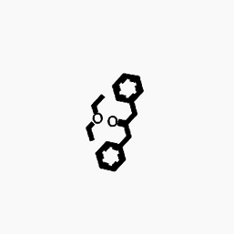 CCOCC.O=C(Cc1ccccc1)Cc1ccccc1